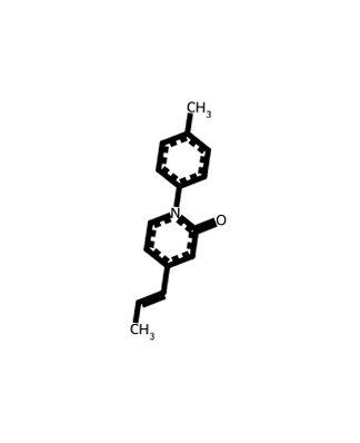 C/C=C/c1ccn(-c2ccc(C)cc2)c(=O)c1